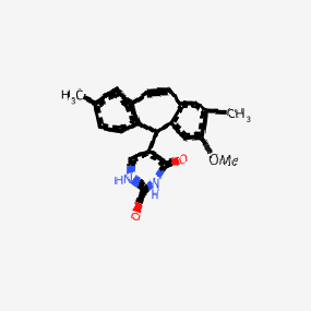 COc1cc2c(cc1C)C=Cc1cc(C)ccc1C2c1c[nH]c(=O)[nH]c1=O